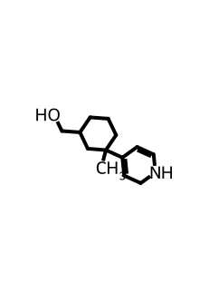 CC1(C2=CCNC=C2)CCCC(CO)C1